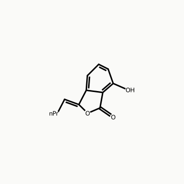 CCCC=C1OC(=O)c2c(O)cccc21